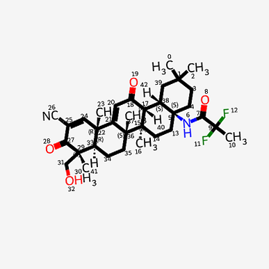 CC1(C)CC[C@]2(NC(=O)C(C)(F)F)CC[C@]3(C)[C@H](C(=O)C=C4[C@@]5(C)C=C(C#N)C(=O)[C@@](C)(CO)[C@@H]5CC[C@]43C)[C@@H]2C1